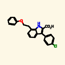 O=C(O)c1[nH]c2c(CCOc3ccccc3)cccc2c1-c1ccc(Cl)cc1